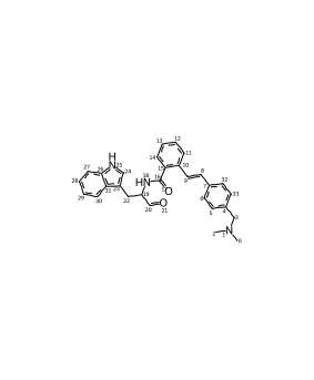 CN(C)Cc1ccc(/C=C/c2ccccc2C(=O)NC(C=O)Cc2c[nH]c3ccccc23)cc1